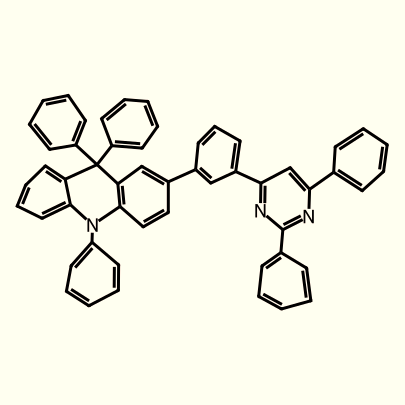 c1ccc(-c2cc(-c3cccc(-c4ccc5c(c4)C(c4ccccc4)(c4ccccc4)c4ccccc4N5c4ccccc4)c3)nc(-c3ccccc3)n2)cc1